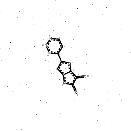 O=c1nc2cc(-c3ccnnn3)nc-2c1=O